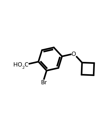 O=C(O)c1ccc(OC2CCC2)cc1Br